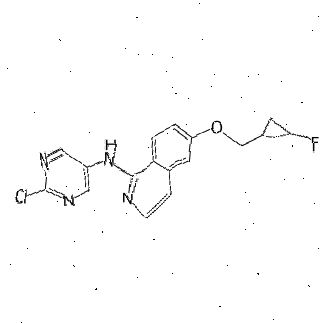 FC1CC1COc1ccc2c(Nc3cnc(Cl)nc3)nccc2c1